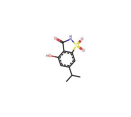 CC(C)c1cc(O)c2c(c1)S(=O)(=O)NC2=O